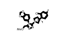 COCc1nnc(N2CC[C@@](I)(c3ccc(F)cc3Cl)C2)n1-c1ccc2c(c1)OCO2